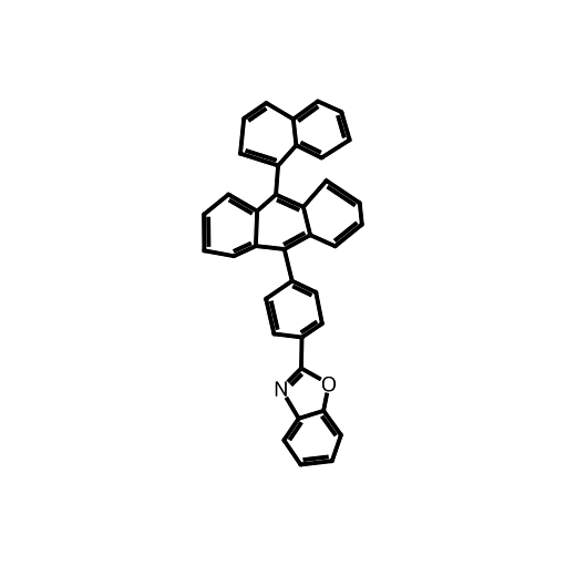 c1ccc2c(-c3c4ccccc4c(-c4ccc(-c5nc6ccccc6o5)cc4)c4ccccc34)cccc2c1